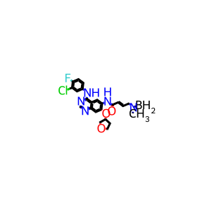 BN(C)C/C=C/C(=O)Nc1cc2c(Nc3ccc(F)c(Cl)c3)ncnc2cc1OC1CCOC1